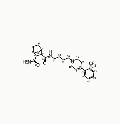 NC(=O)C1C2CCC(C2)C1C(=O)NCCCCN1CCN(c2ccccc2C(F)(F)F)CC1